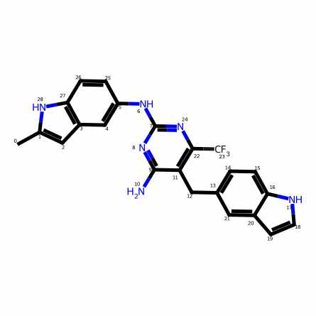 Cc1cc2cc(Nc3nc(N)c(Cc4ccc5[nH]ccc5c4)c(C(F)(F)F)n3)ccc2[nH]1